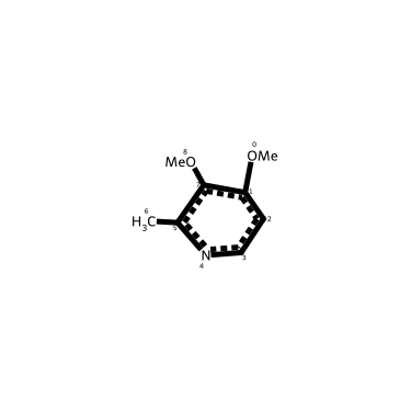 COc1ccnc(C)c1OC